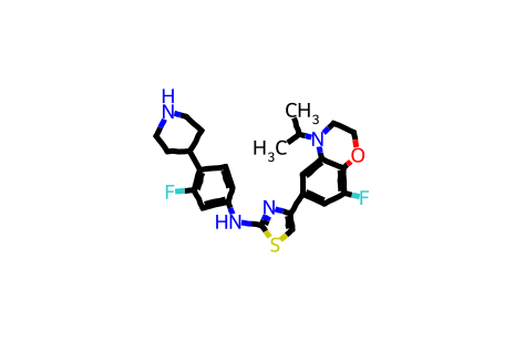 CC(C)N1CCOc2c(F)cc(-c3csc(Nc4ccc(C5CCNCC5)c(F)c4)n3)cc21